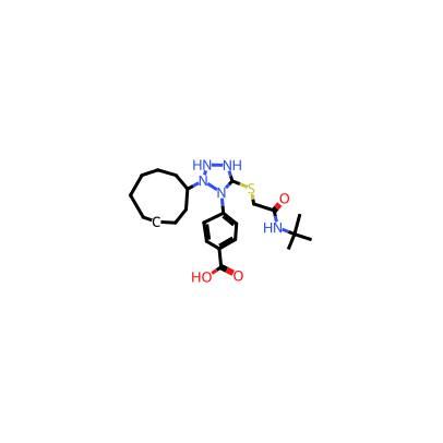 CC(C)(C)NC(=O)CSC1NNN(C2CCCCCCCC2)N1c1ccc(C(=O)O)cc1